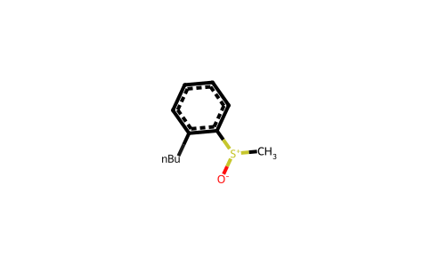 C[CH]CCc1ccccc1[S+](C)[O-]